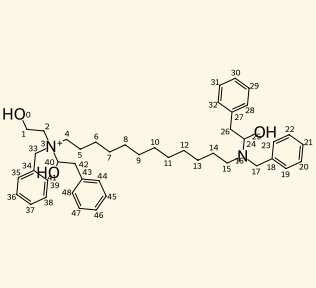 OCC[N+](CCCCCCCCCCCCN(Cc1ccccc1)C(O)Cc1ccccc1)(Cc1ccccc1)C(O)Cc1ccccc1